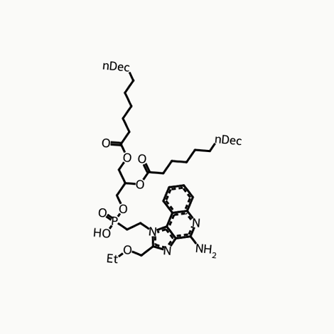 CCCCCCCCCCCCCCCC(=O)OCC(COP(=O)(O)CCn1c(COCC)nc2c(N)nc3ccccc3c21)OC(=O)CCCCCCCCCCCCCCC